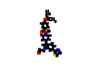 CC(C)Oc1ccc(S(=O)(=O)N2CCC(c3cn(CC=O)c4cc(-c5nncs5)ccc34)CC2)cc1